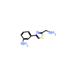 NCc1nc(-c2cccc(N)c2)cs1